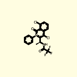 C[C@H](NC(=O)C(F)(F)F)c1c(Cl)c2cccc(Cl)c2c(=O)n1-c1ccccc1